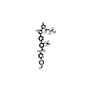 COC(=O)NCC(=O)N1CC(C)CC1c1nc(-c2ccc(-c3ccc(C(=O)Nc4ccc(N5CCN(C=O)CC5)nc4)cc3OC(F)(F)F)cc2)c[nH]1